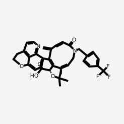 C=C1/C=C\C(=O)N(Cc2ccc(C(F)(F)F)cc2)C/C=C(C)\C([C@H](OC(C)(C)C)C(=O)O)=C/1c1ccc2c3c(ccnc13)CCO2